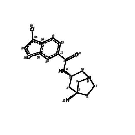 O=C(N[C@@H]1C[C@H]2CCN(C2)C1)c1ccc2c(Cl)coc2c1